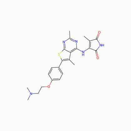 CC1=C(Nc2nc(C)nc3sc(-c4ccc(OCCN(C)C)cc4)c(C)c23)C(=O)NC1=O